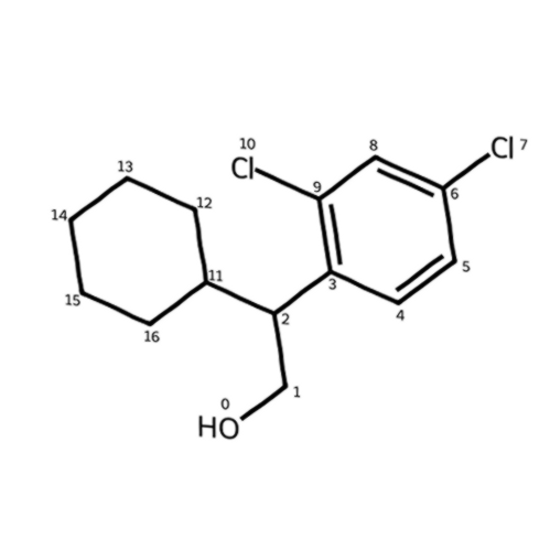 OCC(c1ccc(Cl)cc1Cl)C1CCCCC1